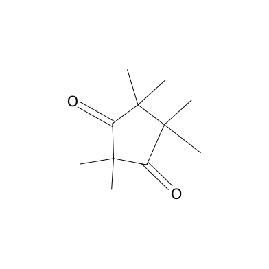 CC1(C)C(=O)C(C)(C)C(C)(C)C1=O